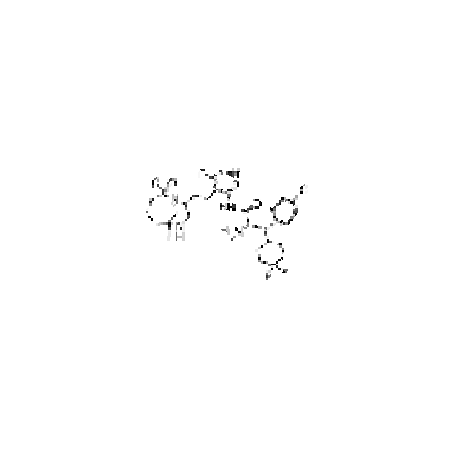 NC(C(=O)Nc1cncc(F)c1CC[C@H]1CN[C@@H]2CCCS(=O)(=O)N1C2)C(c1ccc(Cl)cc1)C1CCC(F)(F)CC1